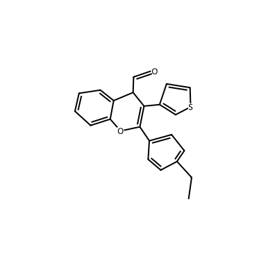 CCc1ccc(C2=C(c3ccsc3)C(C=O)c3ccccc3O2)cc1